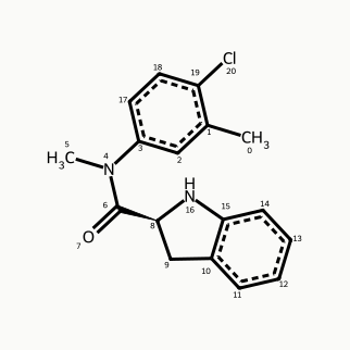 Cc1cc(N(C)C(=O)[C@@H]2Cc3ccccc3N2)ccc1Cl